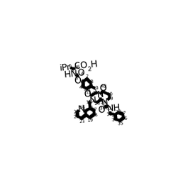 CC(C)C(NC(=O)Oc1ccc(C[C@H]2C(=O)N(Cc3cccc4cccnc34)CC3N(C(=O)NCc4ccccc4)CCC(=O)N32)cc1)C(=O)O